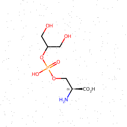 N[C@@H](COP(=O)(O)OC(CO)CO)C(=O)O